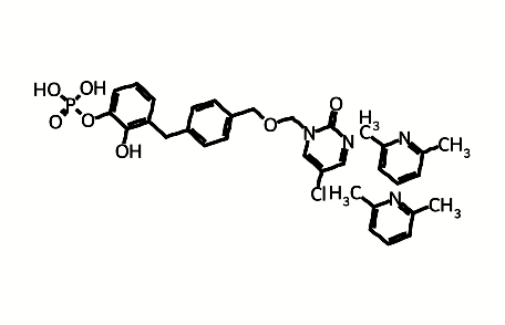 Cc1cccc(C)n1.Cc1cccc(C)n1.O=c1ncc(Cl)cn1COCc1ccc(Cc2cccc(OP(=O)(O)O)c2O)cc1